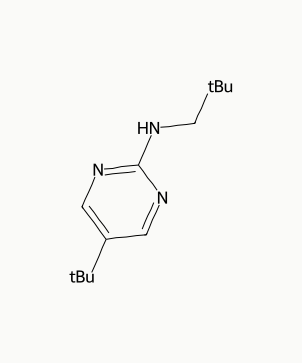 CC(C)(C)CNc1ncc(C(C)(C)C)cn1